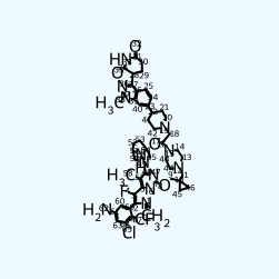 C=N/C(=C(/F)c1nc(OCC2(CN3CCN(C(=O)CN4CCC(c5ccc6c(C7CCC(=O)NC7=O)nn(C)c6c5)CC4)CC3)CC2)nc(N2CC3CCC(C2)N3)c1C)c1cc(N)cc(Cl)c1C(F)(F)F